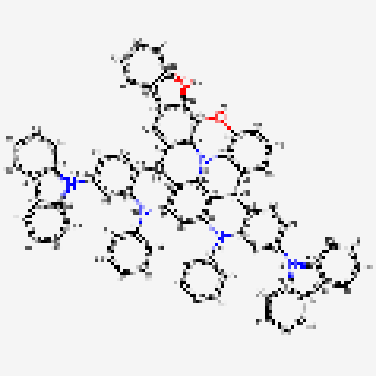 c1ccc(N2c3cc(-n4c5ccccc5c5ccccc54)ccc3B3c4cccc5c4N4c6c3c2cc2c6B(c3ccc(-n6c7ccccc7c7ccccc76)cc3N2c2ccccc2)c2cc3c(oc6ccccc63)c(c24)O5)cc1